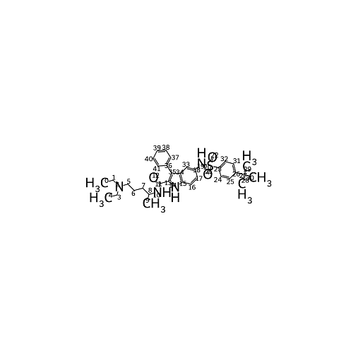 CCN(CC)CCCC(C)NC(=O)c1[nH]c2ccc(NS(=O)(=O)c3ccc(C(C)(C)C)cc3)cc2c1-c1ccccc1